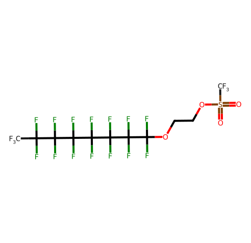 O=S(=O)(OCCOC(F)(F)C(F)(F)C(F)(F)C(F)(F)C(F)(F)C(F)(F)C(F)(F)C(F)(F)F)C(F)(F)F